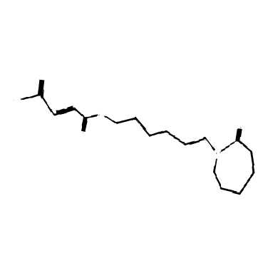 O=C(O)C=CC(=O)NCCCCCCN1CCCCCC1=O